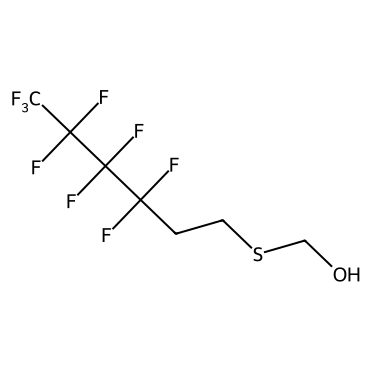 OCSCCC(F)(F)C(F)(F)C(F)(F)C(F)(F)F